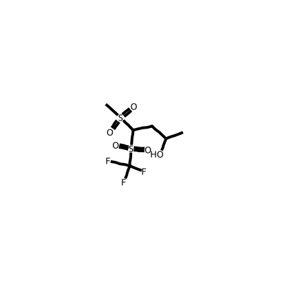 CC(O)CC(S(C)(=O)=O)S(=O)(=O)C(F)(F)F